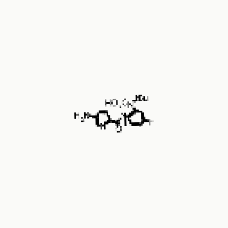 CC(C)(C)N(C(=O)O)c1cc(F)ccc1NC(=O)c1ccc(N)cn1